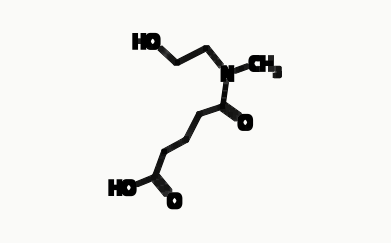 CN(CCO)C(=O)CCCC(=O)O